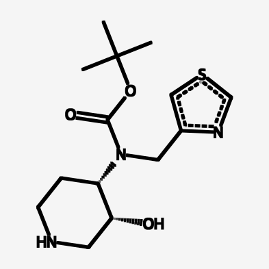 CC(C)(C)OC(=O)N(Cc1cscn1)[C@H]1CCNC[C@H]1O